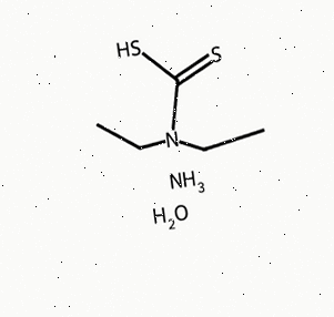 CCN(CC)C(=S)S.N.O